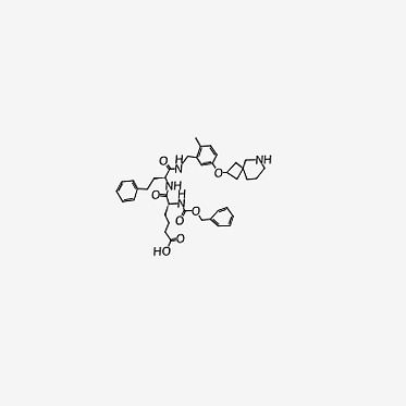 Cc1ccc(OC2CC3(CCCNC3)C2)cc1CNC(=O)[C@H](CCc1ccccc1)NC(=O)[C@H](CCCC(=O)O)NC(=O)OCc1ccccc1